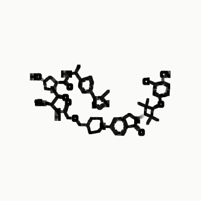 Cc1ncsc1-c1ccc([C@H](C)NC(=O)[C@@H]2C[C@@H](O)CN2C(=O)[C@@H](NC(=O)COCC2CCN(c3ccc4c(c3)CN([C@H]3C(C)(C)[C@H](Oc5ccc(C#N)c(Cl)c5)C3(C)C)C4=O)CC2)C(C)(C)C)cc1